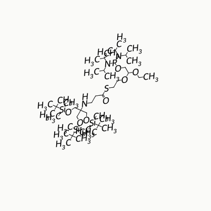 CCOC(COP(N(C(C)C)C(C)C)N(C(C)C)C(C)C)OCCSC(=O)CCNC(CO[Si](C)(C)C(C)(C)C)(CO[Si](C)(C)C(C)(C)C)CO[Si](C)(C)C(C)(C)C